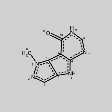 Cn1ncc2[nH]c3nc[nH]c(=O)c3c21